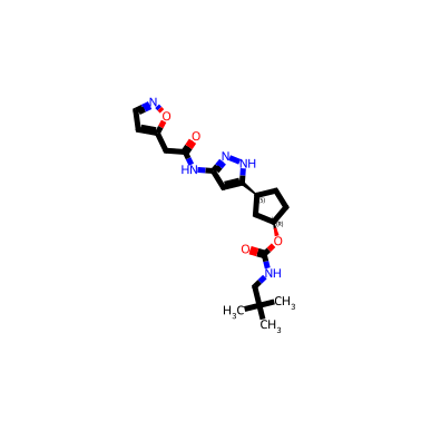 CC(C)(C)CNC(=O)O[C@@H]1CC[C@H](c2cc(NC(=O)Cc3ccno3)n[nH]2)C1